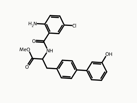 COC(=O)C(Cc1ccc(-c2cccc(O)c2)cc1)NC(=O)c1cc(Cl)ccc1N